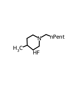 CCCCCCN1CCC(C)CC1.F